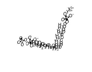 O.O.O.O.O.O.O.O.O.O.O.O.O.O.O.O.O.O.O=S(=O)([O-])[O-].O=S(=O)([O-])[O-].O=S(=O)([O-])[O-].[Y+3].[Y+3]